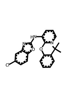 CC(C)(C)c1ccccc1Oc1ncccc1Nc1nc2cc(Cl)ccc2o1